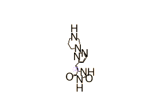 O=C1NC(=O)/C(=C/c2ccnc(N3CCCNCC3)n2)N1